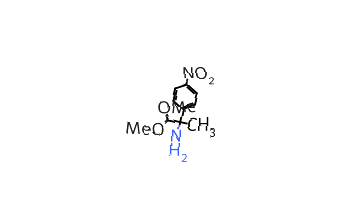 COC(OC)C(C)(N)c1ccc([N+](=O)[O-])cc1